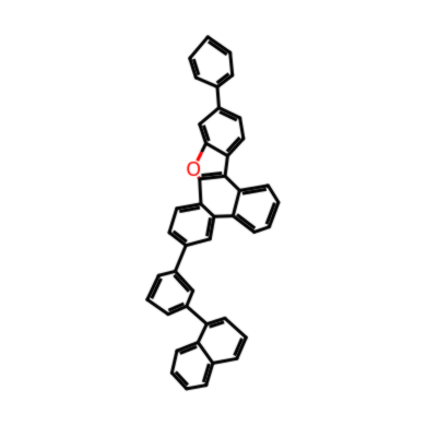 c1ccc(-c2ccc3c(c2)oc2c4ccc(-c5cccc(-c6cccc7ccccc67)c5)cc4c4ccccc4c32)cc1